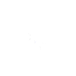 O=C(/C=C/C1=CC[CH]C(Cl)=C1)N1CCOCC1